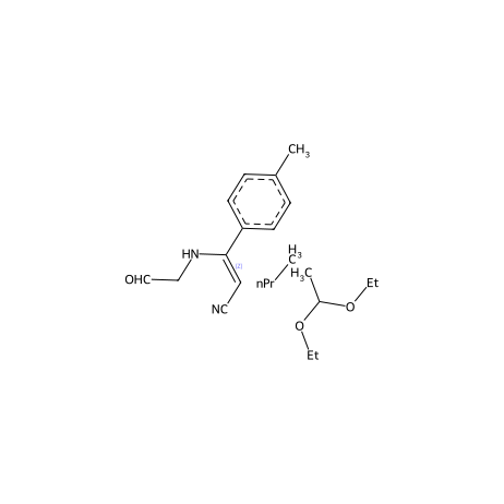 CCCC.CCOC(C)OCC.Cc1ccc(/C(=C/C#N)NCC=O)cc1